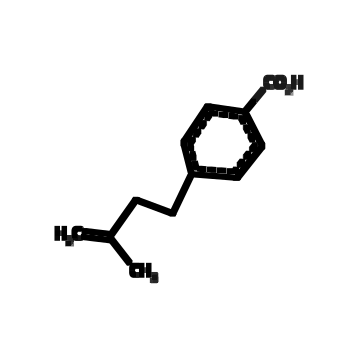 C=C(C)CCc1ccc(C(=O)O)cc1